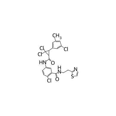 Cc1cc(Cl)cc(C2C(C(=O)Nc3ccc(Cl)c(C(=O)NCCc4nccs4)c3)C2(Cl)Cl)c1